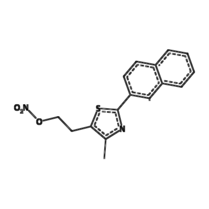 Cc1nc(-c2[c]c3ccccc3cc2)sc1CCO[N+](=O)[O-]